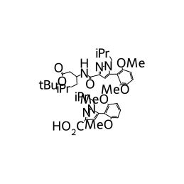 COc1cccc(OC)c1-c1cc(C(=O)NC(CC(=O)OC(C)(C)C)CC(C)C)nn1CC(C)C.COc1cccc(OC)c1-c1cc(C(=O)O)nn1CC(C)C